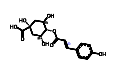 O=C(/C=C/c1ccc(O)cc1)O[C@H]1[C@H](O)C[C@](O)(C(=O)O)C[C@H]1O